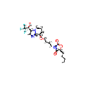 CCCC=C1OC(=O)N(CCCCOc2cccn3c(C(=O)C(F)(F)F)cnc23)C1=O